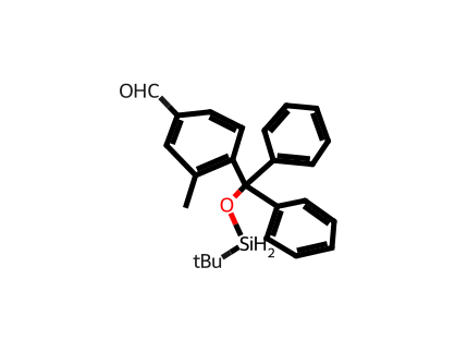 Cc1cc(C=O)ccc1C(O[SiH2]C(C)(C)C)(c1ccccc1)c1ccccc1